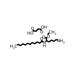 CCCCCCCCCCCC(=O)NC(CCCCN)C(=O)OCC.O=C(O)CCC(=O)O